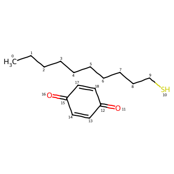 CCCCCCCCCCS.O=C1C=CC(=O)C=C1